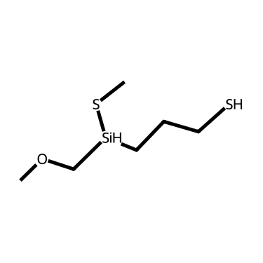 COC[SiH](CCCS)SC